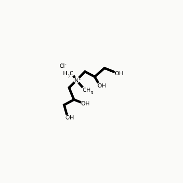 C[N+](C)(CC(O)CO)CC(O)CO.[Cl-]